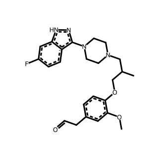 COc1cc(CC=O)ccc1OCC(C)CN1CCN(c2n[nH]c3cc(F)ccc23)CC1